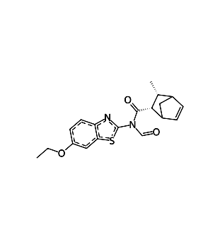 CCOc1ccc2nc(N(C=O)C(=O)[C@H]3C4C=CC(C4)[C@H]3C)sc2c1